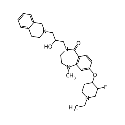 CCN1CCC(Oc2ccc3c(c2)N(C)CCN(CC(O)CN2CCc4ccccc4C2)C3=O)C(F)C1